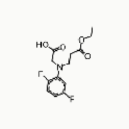 CCOC(=O)CCN(CC(=O)O)c1cc(F)ccc1F